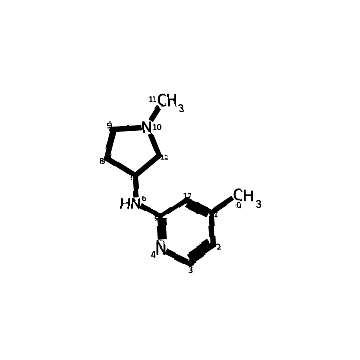 Cc1ccnc(NC2CCN(C)C2)c1